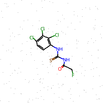 O=C(CF)NC(=S)Nc1ccc(Cl)c(Cl)c1Cl